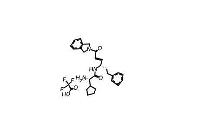 N[C@H](C(=O)N[C@H](C=CC(=O)N1Cc2ccccc2C1)CCc1ccccc1)C1CCCC1.O=C(O)C(F)(F)F